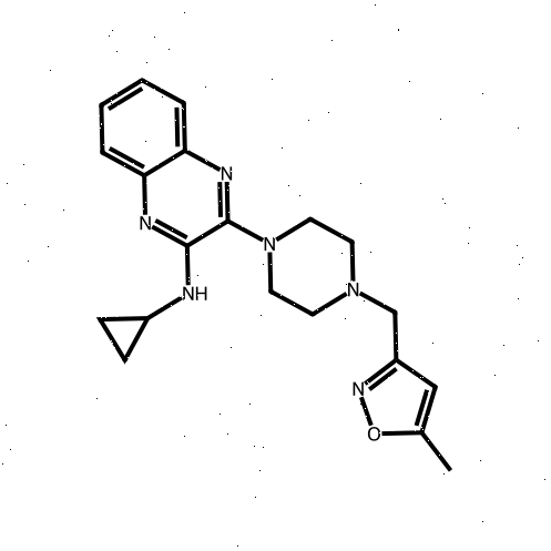 Cc1cc(CN2CCN(c3nc4ccccc4nc3NC3CC3)CC2)no1